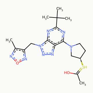 CC(O)=[SH][C@@H]1CCN(c2nc(C(C)(C)C)nc3c2nnn3Cc2nonc2C)C1